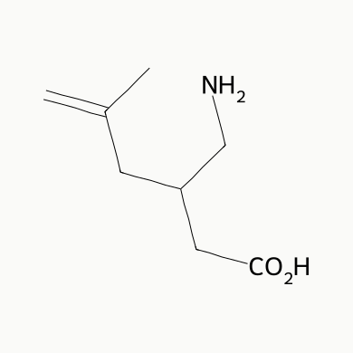 C=C(C)CC(CN)CC(=O)O